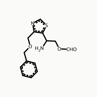 NC(COC=O)c1scnc1COCc1ccccc1